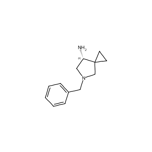 N[C@H]1CN(Cc2ccccc2)CC12CC2